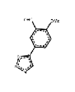 COc1ccc(-n2cnnn2)cc1C=O